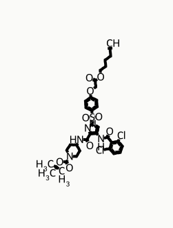 C#CCCCCOC(=O)COc1ccc(S(=O)(=O)n2cc(NC(=O)c3c(Cl)cccc3Cl)c(C(=O)NC3CCN(C(=O)OC(C)(C)C)CC3)n2)cc1